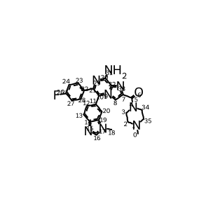 CN1CCN(C(=O)c2cn3c(-c4ccc5ncn(C)c5c4)c(-c4ccc(F)cc4)nc(N)c3n2)CC1